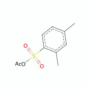 CC(=O)OS(=O)(=O)c1ccc(C)cc1C